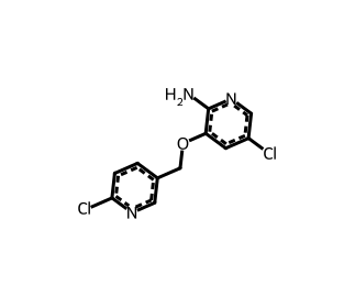 Nc1ncc(Cl)cc1OCc1ccc(Cl)nc1